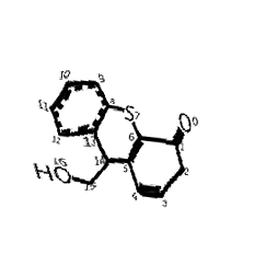 O=C1CC=CC2=C1Sc1ccccc1C2CO